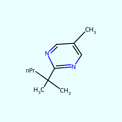 CCCC(C)(C)c1ncc(C)cn1